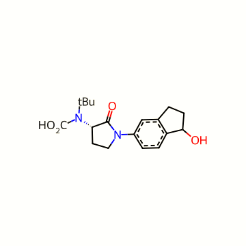 CC(C)(C)N(C(=O)O)[C@H]1CCN(c2ccc3c(c2)CCC3O)C1=O